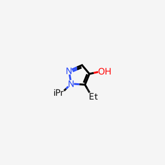 CCc1c(O)cnn1C(C)C